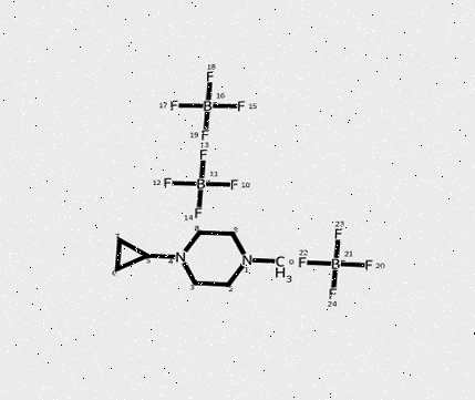 CN1CCN(C2CC2)CC1.F[B-](F)(F)F.F[B-](F)(F)F.F[B-](F)(F)F